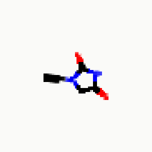 C#CN1CC(=O)NC1=O